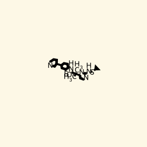 CC(C)(C(=O)Nc1ccc(-c2cccnc2)cc1F)c1ccnc(NSC2CC2)n1